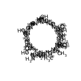 CCCC[C@@H]1C(=O)N(C)[C@H](CCCC)C(=O)N[C@@H](CN)C(=O)N[C@@H](C(=O)NCC(N)=O)CSCC(=O)N[C@@H](Cc2ccc(O)cc2)C(=O)N2CCCC2C(=O)N[C@H](CC(=O)O)C(=O)N2CCC[C@H]2C(=O)N[C@H](CN)C(=O)N[C@@H](CC(=O)O)C(=O)N2CCCC2C(=O)N[C@H](Cc2c[nH]c3ccccc23)C(=O)N[C@@H](CCN)C(=O)N[C@@H](Cc2c[nH]c3ccccc23)C(=O)N1C